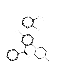 CN1CCN(c2ccc([N+](=O)[O-])cc2C(=O)c2ccccc2)CC1.Nc1cccnc1N